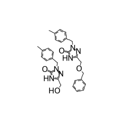 Cc1ccc(Cn2nc(CO)[nH]c2=O)cc1.Cc1ccc(Cn2nc(COCc3ccccc3)[nH]c2=O)cc1